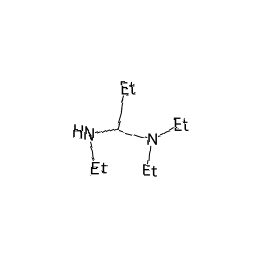 CCNC(CC)N(CC)CC